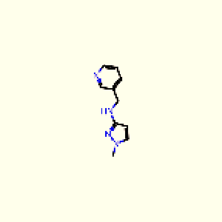 Cn1ccc(NCc2cccnc2)n1